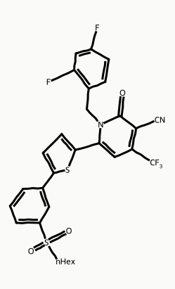 CCCCCCS(=O)(=O)c1cccc(-c2ccc(-c3cc(C(F)(F)F)c(C#N)c(=O)n3Cc3ccc(F)cc3F)s2)c1